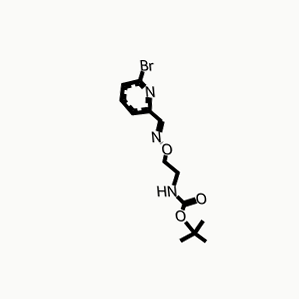 CC(C)(C)OC(=O)NCCO/N=C/c1cccc(Br)n1